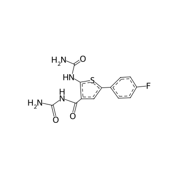 NC(=O)NC(=O)c1cc(-c2ccc(F)cc2)sc1NC(N)=O